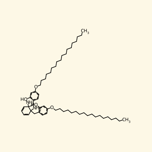 CCCCCCCCCCCCCCCCCCOc1ccc(CC2(N)C=CC=CC2(N)Cc2ccc(OCCCCCCCCCCCCCCCCCC)cc2O)c(O)c1